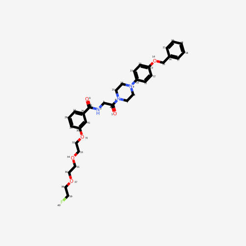 O=C(NCC(=O)N1CCN(c2ccc(OCc3ccccc3)cc2)CC1)c1cccc(OCCOCCOCCF)c1